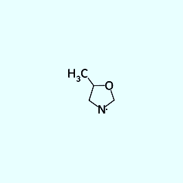 CC1C[N]CO1